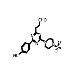 CS(=O)(=O)N1CCN(c2nc(CCC=O)nc(-c3ccc(C#N)cc3)n2)CC1